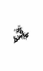 CCc1cccc(CN(C[C@@H](O)[C@@H](N)Cc2cc(F)cc(F)c2)C(=O)c2ccc(-n3c(=O)[nH][nH]c3=O)cc2)c1